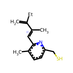 C=C(CC)/C(C)=C/c1nc(CS)ccc1C